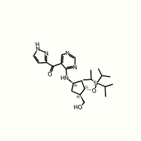 CC(C)[Si](O[C@H]1C[C@H](Nc2ncncc2C(=O)c2cc[nH]n2)C[C@@H]1CO)(C(C)C)C(C)C